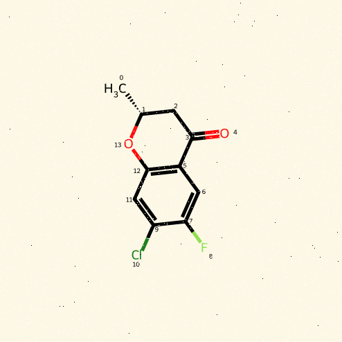 C[C@@H]1CC(=O)c2cc(F)c(Cl)cc2O1